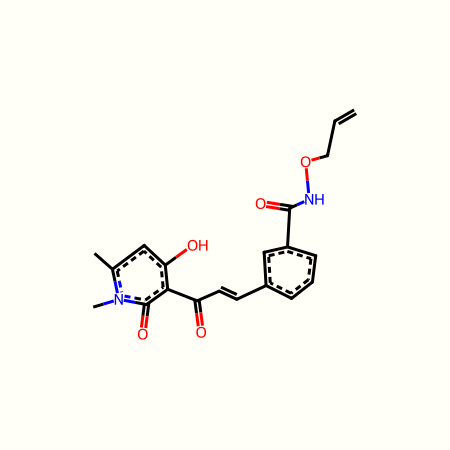 C=CCONC(=O)c1cccc(C=CC(=O)c2c(O)cc(C)n(C)c2=O)c1